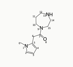 Cn1cccc1CC(=O)N1CCCNCC1